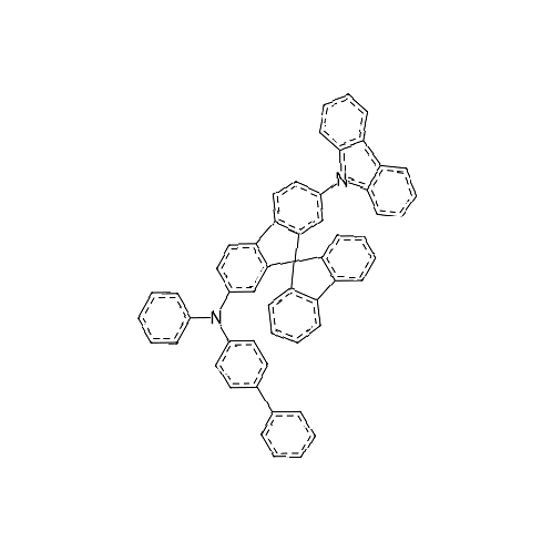 c1ccc(-c2ccc(N(c3ccccc3)c3ccc4c(c3)C3(c5ccccc5-c5ccccc53)c3cc(-n5c6ccccc6c6ccccc65)ccc3-4)cc2)cc1